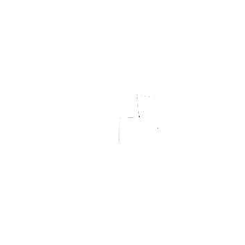 O=C(O)C1CCCC12CN2